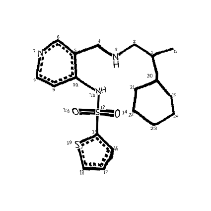 CC(CNCc1cnccc1NS(=O)(=O)c1cccs1)C1CCCCC1